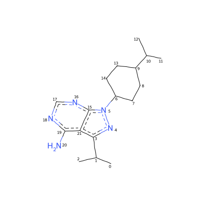 CC(C)c1nn(C2CCC(C(C)C)CC2)c2ncnc(N)c12